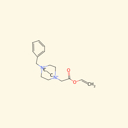 C=COC(=O)C[N+]12CC[N+](Cc3ccccc3)(CC1)CC2